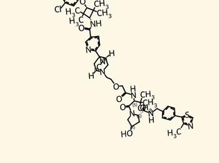 Cc1ncsc1-c1ccc(CNC(=O)[C@@H]2C[C@@H](O)CN2C(=O)[C@@H](NC(=O)COCCN2C[C@H]3CC[C@@H]2CN3c2ccc(C(=O)N[C@H]3C(C)(C)[C@H](Oc4ccc(C#N)c(Cl)c4)C3(C)C)cn2)C(C)(C)C)cc1